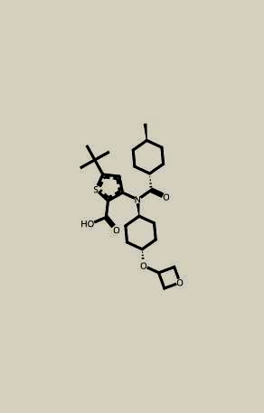 CC(C)(C)c1cc(N(C(=O)[C@H]2CC[C@H](C)CC2)[C@H]2CC[C@H](OC3COC3)CC2)c(C(=O)O)s1